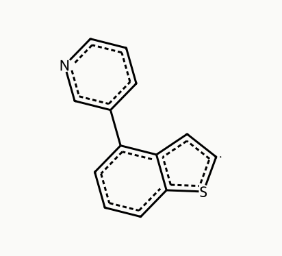 [c]1cc2c(-c3cccnc3)cccc2s1